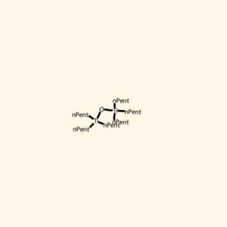 CCCC[CH2][Ti]([CH2]CCCC)([CH2]CCCC)[O][Ti]([CH2]CCCC)([CH2]CCCC)[CH2]CCCC